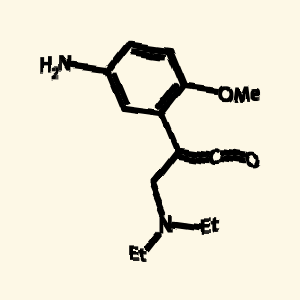 CCN(CC)CC(=C=O)c1cc(N)ccc1OC